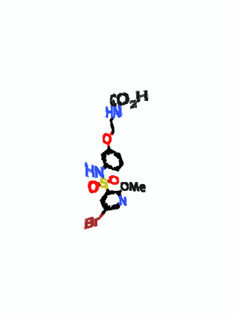 COc1ncc(Br)cc1S(=O)(=O)Nc1cccc(OCCNC(=O)O)c1